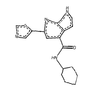 O=C(NC1CCCCC1)c1cc(-c2cncs2)nc2[nH]ccc12